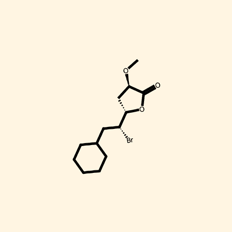 CO[C@@H]1C[C@@H]([C@H](Br)CC2CCCCC2)OC1=O